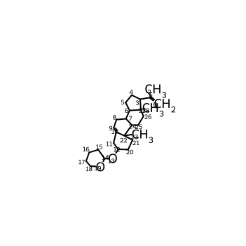 C=C(C)C1CCC2C3CC=C4CC(OC5CCCCO5)CCC4(C)C3CC[C@]12C